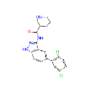 O=C(Nc1n[nH]c2ccc(-c3cc(Cl)ccc3Cl)cc12)C1CCCNC1